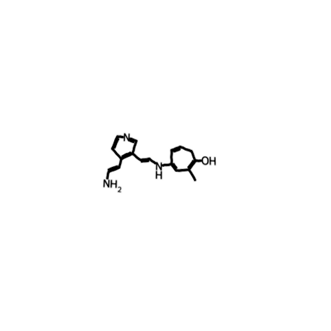 CC1=C(O)CC=CC(N/C=C/c2cnccc2/C=C/N)=C1